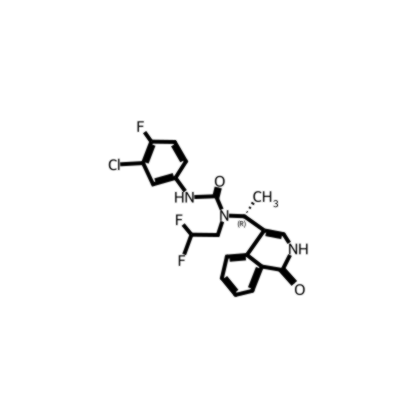 C[C@H](c1c[nH]c(=O)c2ccccc12)N(CC(F)F)C(=O)Nc1ccc(F)c(Cl)c1